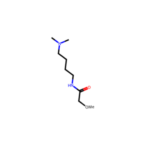 COCC(=O)NCCCCN(C)C